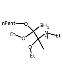 CCCCCOC([SiH3])(OCC)C(C)(NCC)OCC